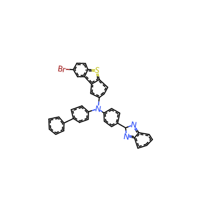 Brc1ccc2sc3ccc(N(c4ccc(-c5ccccc5)cc4)c4ccc(C5N=c6ccccc6=N5)cc4)cc3c2c1